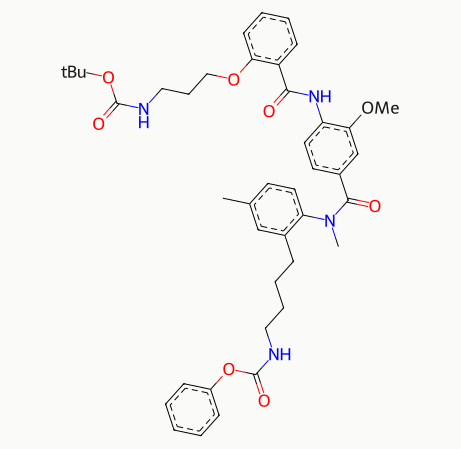 COc1cc(C(=O)N(C)c2ccc(C)cc2CCCCNC(=O)Oc2ccccc2)ccc1NC(=O)c1ccccc1OCCCNC(=O)OC(C)(C)C